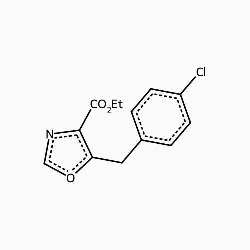 CCOC(=O)c1ncoc1Cc1ccc(Cl)cc1